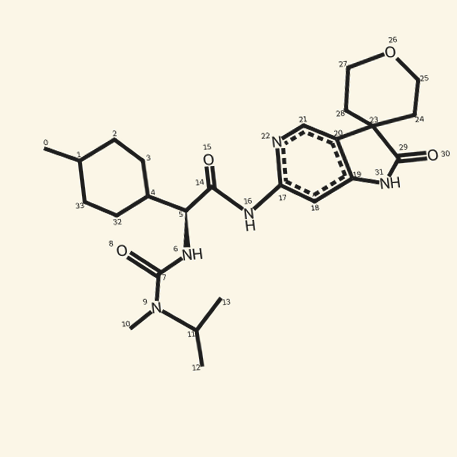 CC1CCC([C@H](NC(=O)N(C)C(C)C)C(=O)Nc2cc3c(cn2)C2(CCOCC2)C(=O)N3)CC1